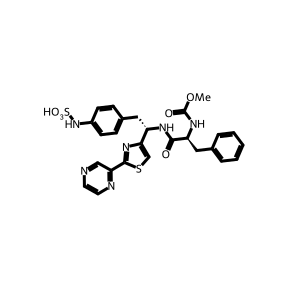 COC(=O)N[C@@H](Cc1ccccc1)C(=O)N[C@@H](Cc1ccc(NS(=O)(=O)O)cc1)c1csc(-c2cnccn2)n1